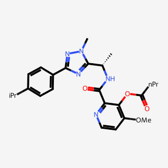 CCCC(=O)Oc1c(OC)ccnc1C(=O)N[C@@H](C)c1nc(-c2ccc(C(C)C)cc2)nn1C